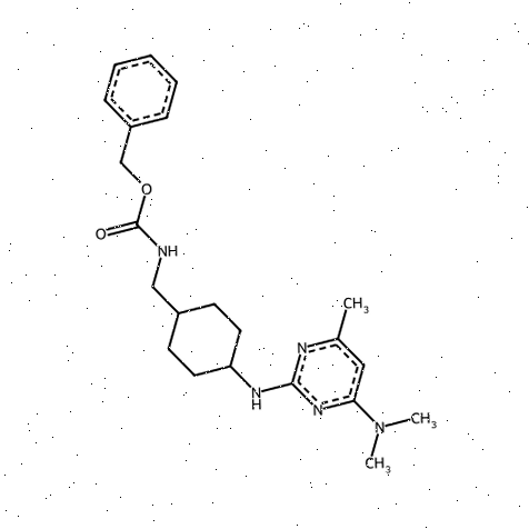 Cc1cc(N(C)C)nc(NC2CCC(CNC(=O)OCc3ccccc3)CC2)n1